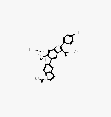 CNC(=O)c1c(-c2ccc(C)cc2)oc2cc(N(C)S(C)(=O)=O)c(-c3ccc4c(ccn4C(=O)OC(C)(C)C)c3)cc12